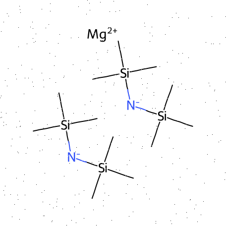 C[Si](C)(C)[N-][Si](C)(C)C.C[Si](C)(C)[N-][Si](C)(C)C.[Mg+2]